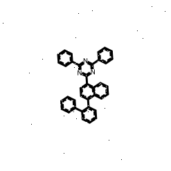 c1ccc(-c2nc(-c3ccccc3)nc(-c3ccc(-c4ccccc4-c4ccccc4)c4ccccc34)n2)cc1